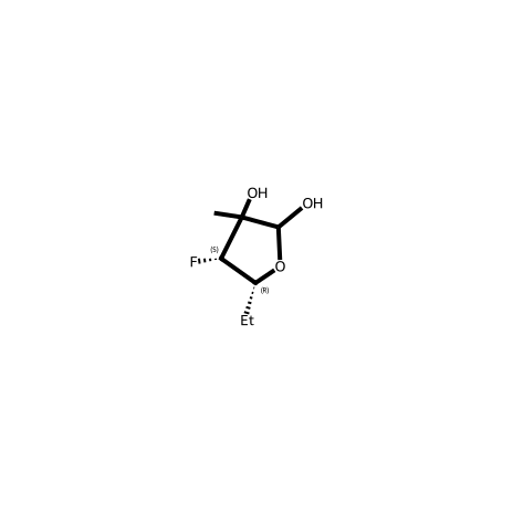 CC[C@H]1OC(O)C(C)(O)[C@H]1F